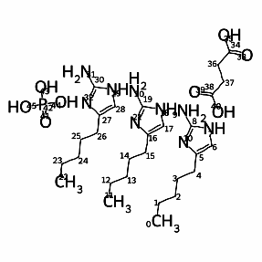 CCCCCc1c[nH]c(N)n1.CCCCCc1c[nH]c(N)n1.CCCCCc1c[nH]c(N)n1.O=C(O)CCC(=O)O.O=P(O)(O)O